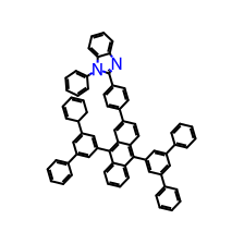 C1=CCC(c2cc(-c3ccccc3)cc(-c3c4ccccc4c(-c4cc(-c5ccccc5)cc(-c5ccccc5)c4)c4ccc(-c5ccc(-c6nc7ccccc7n6-c6ccccc6)cc5)cc34)c2)C=C1